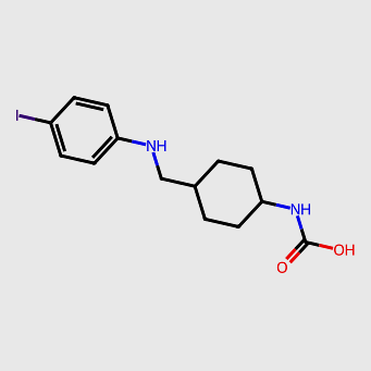 O=C(O)NC1CCC(CNc2ccc(I)cc2)CC1